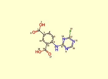 O=C(O)c1ccc(Nc2n[c]nc(F)n2)c(C(=O)O)c1